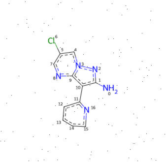 Nc1nn2cc(Cl)cnc2c1-c1ccccn1